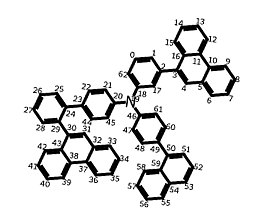 c1cc(-c2cc3ccccc3c3ccccc23)cc(N(c2ccc(-c3ccccc3-c3cc4ccccc4c4ccccc34)cc2)c2ccc(-c3cccc4ccccc34)cc2)c1